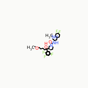 CCOCCCC[C@@](O)(c1cc(F)cc(F)c1F)[C@@H]1CCCN(C(=O)NC(CNC)CC2CCC(F)(F)CC2)C1